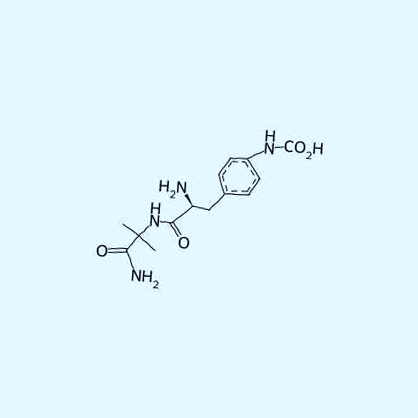 CC(C)(NC(=O)[C@@H](N)Cc1ccc(NC(=O)O)cc1)C(N)=O